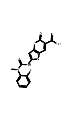 CN(C(=O)Nc1cc2oc(=O)c(C(=O)O)cc2s1)c1ccccc1F